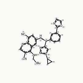 CC(C)(C)CNc1c(C#N)cnc2c(C#N)cc(N[C@@H](c3cccc(-c4ncco4)c3)c3cn(C4CC4)nn3)cc12